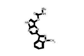 Cn1nc(-c2cnc3[nH]cc(OC(=O)NC(C)(C)C)c3n2)c2ccccc21